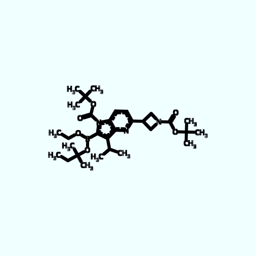 CCOB(OC(C)(C)CC)c1c(C(C)C)c2nc(C3CN(C(=O)OC(C)(C)C)C3)ccc2n1C(=O)OC(C)(C)C